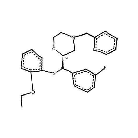 CCOc1ccccc1SC(c1cccc(F)c1)[C@@H]1CN(Cc2ccccc2)CCO1